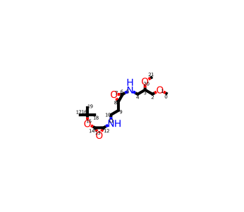 COCC(CNC1OC1CCNC1OC1OC(C)(C)C)OC